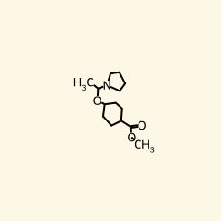 COC(=O)C1CCC(OC(C)N2CCCC2)CC1